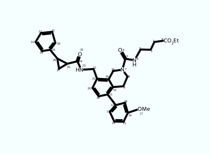 CCOC(=O)CCCNC(=O)N1CCc2c(-c3cccc(OC)c3)ccc(CNC(=O)C3CC3c3ccccc3)c2C1